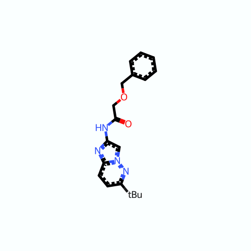 CC(C)(C)c1ccc2nc(NC(=O)COCc3ccccc3)cn2n1